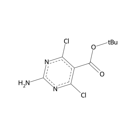 CC(C)(C)OC(=O)c1c(Cl)nc(N)nc1Cl